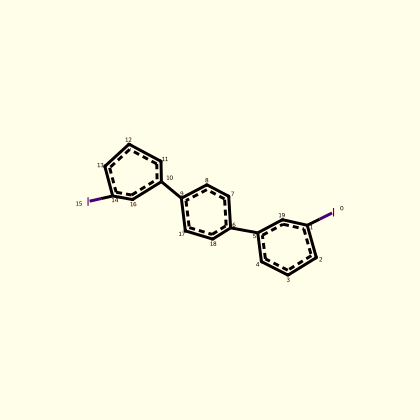 Ic1cccc(-c2ccc(-c3cccc(I)c3)cc2)c1